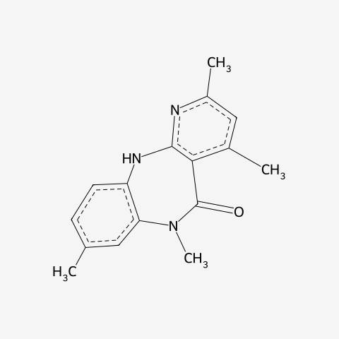 Cc1ccc2c(c1)N(C)C(=O)c1c(C)cc(C)nc1N2